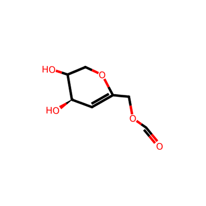 O=COCC1=C[C@@H](O)C(O)CO1